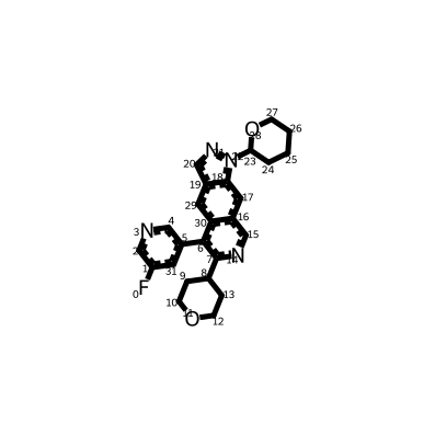 Fc1cncc(-c2c(C3CCOCC3)ncc3cc4c(cnn4C4CCCCO4)cc23)c1